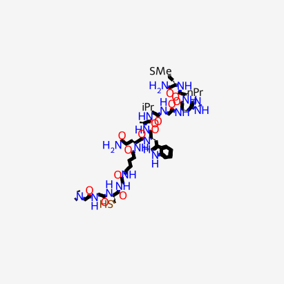 CCC[C@H](NC(=O)[C@H](Cc1cnc[nH]1)NC(=O)CNC(=O)[C@@H](NC(=O)[C@H](C)NC(=O)[C@H](Cc1c[nH]c2ccccc12)NC(=O)[C@H](CCC(N)=O)NC(=O)CCCCNC(=O)CNC(=O)[C@H](CS)NC(=O)CNC(=O)CN(C)C)C(C)C)C(=O)N[C@@H](CCSC)C(N)=O